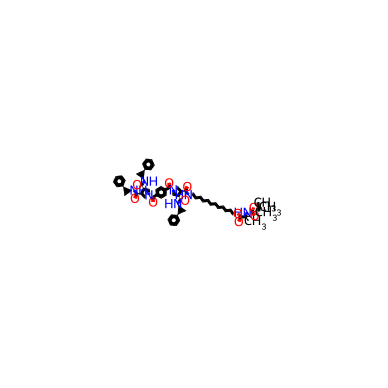 C[C@H](NC(=O)OC(C)(C)C)C(=O)OCCCCCCCCCCCCNC(=O)[C@@H]1CN(C(=O)c2ccc(C(=O)N3C[C@@H](C(=O)N[C@H]4C[C@@H]4c4ccccc4)[C@H](C(=O)N[C@H]4C[C@@H]4c4ccccc4)C3)cc2)C[C@H]1C(=O)N[C@H]1C[C@@H]1c1ccccc1